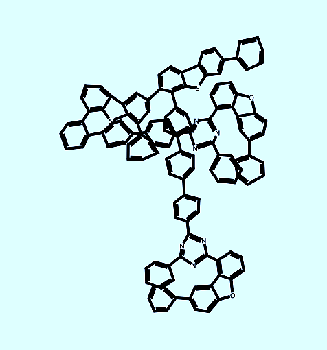 c1ccc(-c2ccc3c(c2)sc2c(-c4ccc(-c5ccc(-c6ccc(-c7nc(-c8ccccc8)nc(-c8cccc9oc%10ccc(-c%11ccccc%11)cc%10c89)n7)cc6)cc5)cc4)c(-c4cc(-c5ccccc5)c5sc6c(-c7ccccc7-c7ccc(-c8ccc(-c9nc(-c%10ccccc%10)nc(-c%10cccc%11oc%12ccc(-c%13ccccc%13)cc%12c%10%11)n9)cc8)cc7)cccc6c5c4)ccc23)cc1